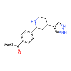 COC(=O)c1ccc(C2CC(c3cn[nH]c3)CCN2)cc1